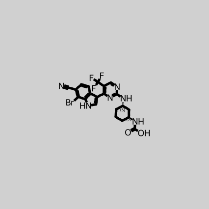 N#Cc1ccc2c(-c3nc(N[C@H]4CCC[C@H](NC(=O)O)C4)ncc3C(F)(F)F)c[nH]c2c1Br